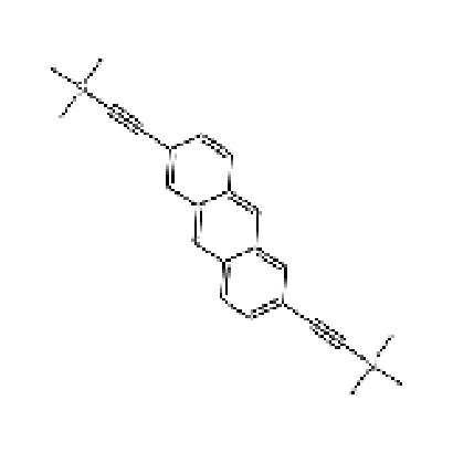 C[Si](C)(C)C#Cc1ccc2cc3cc(C#C[Si](C)(C)C)ccc3cc2c1